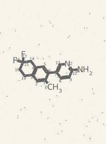 Cc1cc2c(cc1-c1ccc(N)nc1)CC(F)(F)CC2